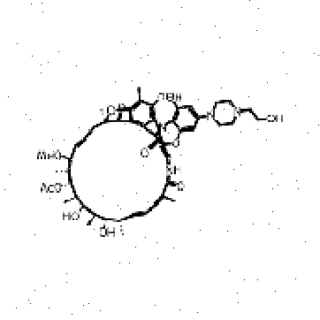 CO[C@H]1/C=C/C[C@@]2(C)Oc3c(C)c(O)c4c(=O)c(c5oc6cc(N7CCN(CCO)CC7)cc(O)c6nc-5c4c3C2=O)NC(=O)/C(C)=C\C=C\[C@H](C)[C@H](O)[C@@H](C)[C@@H](O)[C@@H](C)[C@H](OC(C)=O)[C@@H]1C